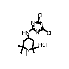 CC1(C)CC(Nc2nc(Cl)nc(Cl)n2)CC(C)(C)N1.Cl